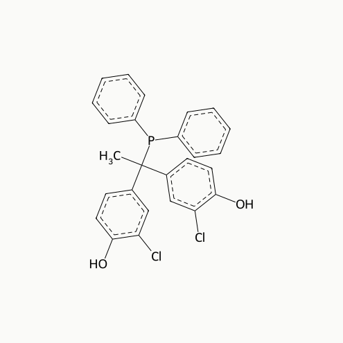 CC(c1ccc(O)c(Cl)c1)(c1ccc(O)c(Cl)c1)P(c1ccccc1)c1ccccc1